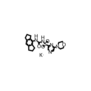 O=C(Nc1c2c(cc3c1CCC3)CCC2)NS(=O)(=O)c1cncc(N2CCOCC2)n1.[K]